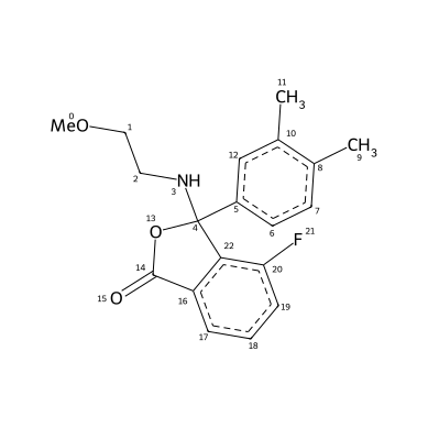 COCCNC1(c2ccc(C)c(C)c2)OC(=O)c2cccc(F)c21